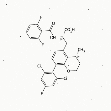 C[C@@H]1CCOc2c(-c3c(Cl)cc(F)cc3Cl)ccc(C[C@H](NC(=O)c3c(F)cccc3F)C(=O)O)c21